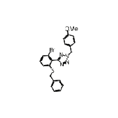 COc1ccc(Cn2nnc(-c3c(Br)cccc3SCc3ccccc3)n2)cc1